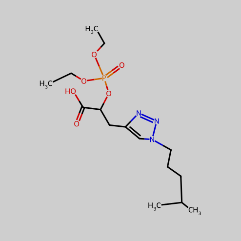 CCOP(=O)(OCC)OC(Cc1cn(CCCC(C)C)nn1)C(=O)O